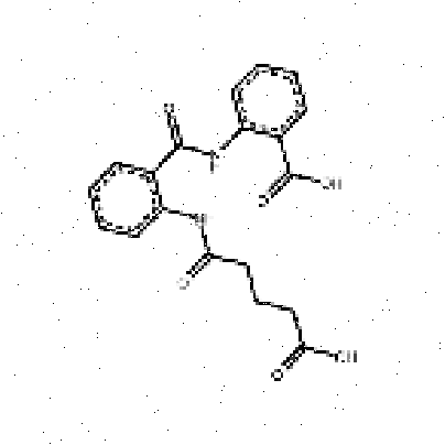 O=C(O)CCCC(=O)Nc1ccccc1C(=O)Nc1ccccc1C(=O)O